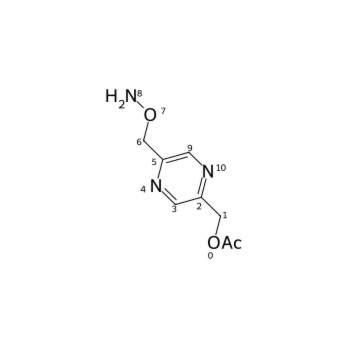 CC(=O)OCc1cnc(CON)cn1